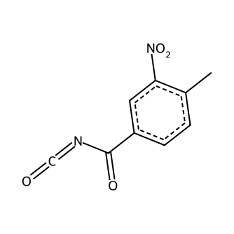 Cc1ccc(C(=O)N=C=O)cc1[N+](=O)[O-]